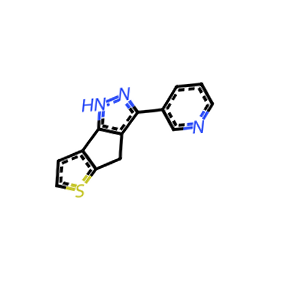 c1cncc(-c2n[nH]c3c2Cc2sccc2-3)c1